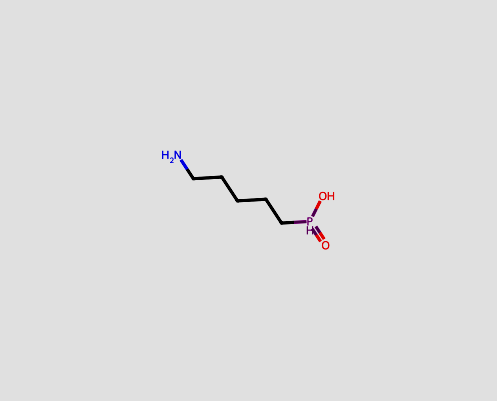 NCCCCC[PH](=O)O